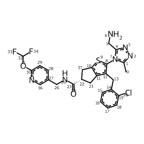 Cc1nnc(CN)n1-c1sc2c(c1Cc1ccccc1Cl)C[C@H](C(=O)NCc1ccc(OC(F)F)nc1)C2